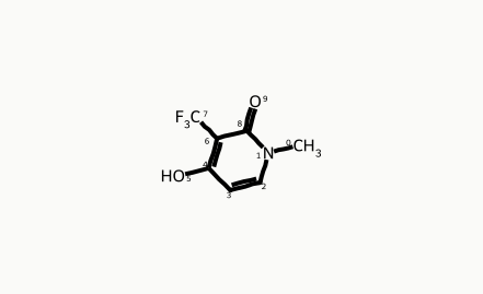 Cn1ccc(O)c(C(F)(F)F)c1=O